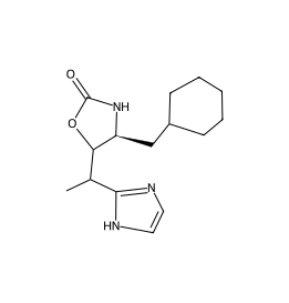 CC(c1ncc[nH]1)C1OC(=O)N[C@H]1CC1CCCCC1